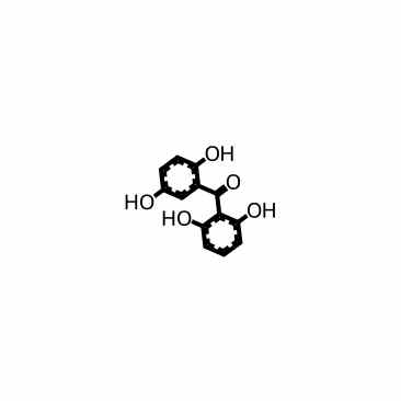 O=C(c1cc(O)ccc1O)c1c(O)cccc1O